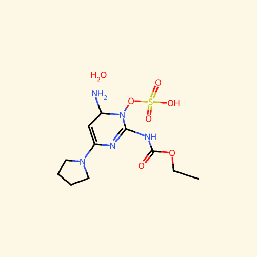 CCOC(=O)NC1=NC(N2CCCC2)=CC(N)N1OS(=O)(=O)O.O